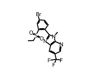 CCS(=O)(=O)c1cc(Br)ccc1-c1nc2cc(C(F)(F)F)cnc2n1C